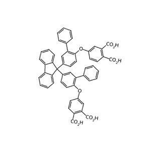 O=C(O)c1ccc(Oc2ccc(C3(c4ccc(Oc5ccc(C(=O)O)c(C(=O)O)c5)c(-c5ccccc5)c4)c4ccccc4-c4ccccc43)cc2-c2ccccc2)cc1C(=O)O